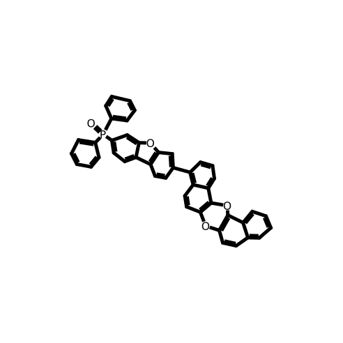 O=P(c1ccccc1)(c1ccccc1)c1ccc2c(c1)oc1cc(-c3cccc4c5c(ccc34)Oc3ccc4ccccc4c3O5)ccc12